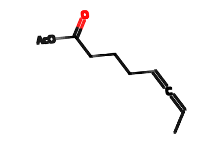 CC=C=CCCCC(=O)OC(C)=O